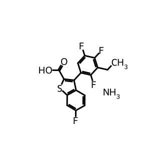 CCc1c(F)c(F)cc(-c2c(C(=O)O)sc3cc(F)ccc23)c1F.N